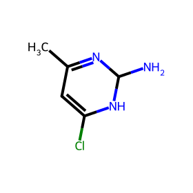 CC1=NC(N)NC(Cl)=C1